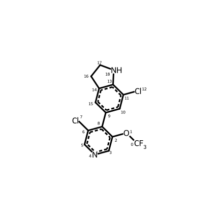 FC(F)(F)Oc1cncc(Cl)c1-c1cc(Cl)c2c(c1)CCN2